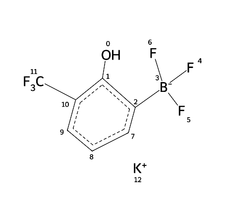 Oc1c([B-](F)(F)F)cccc1C(F)(F)F.[K+]